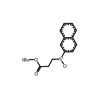 CC(C)(C)OC(=O)CC[S+]([O-])c1ccc2ccccc2c1